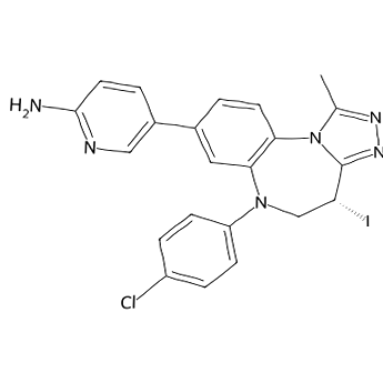 Cc1nnc2n1-c1ccc(-c3ccc(N)nc3)cc1N(c1ccc(Cl)cc1)C[C@H]2I